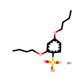 CCCCOc1ccc(S(=O)(=O)O)c(OCCCC)c1.[KH]